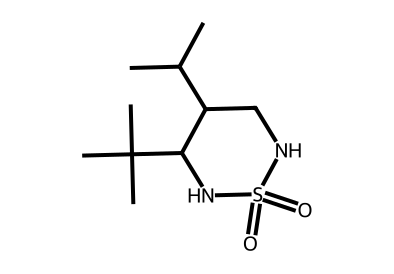 CC(C)C1CNS(=O)(=O)NC1C(C)(C)C